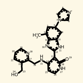 Cc1cc(-n2ccnc2)cc2[nH]c(-c3c(NCc4ncccc4CO)cc[nH]c3=O)nc12